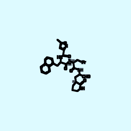 Cc1cc(C(=O)NC(Cc2cccc3ccccc23)C(=O)N[C@@H](CC(C)C)C(=O)NC(C=O)C[C@@H]2CCCNC2=O)no1